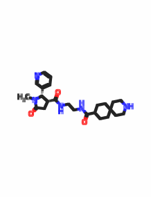 CN1C(=O)C[C@H](C(=O)NCCNC(=O)C2CCC3(CCNCC3)CC2)[C@H]1c1cccnc1